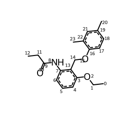 CCOc1cccc(NC(=O)CC)c1COc1ccc(C)cc1C